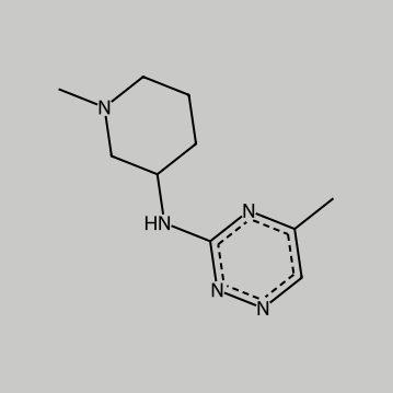 Cc1cnnc(NC2CCCN(C)C2)n1